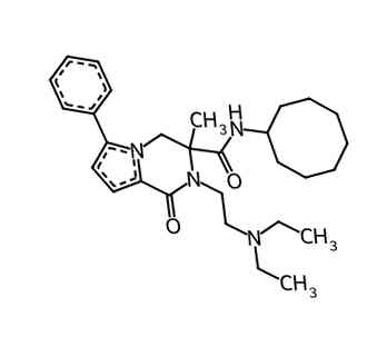 CCN(CC)CCN1C(=O)c2ccc(-c3ccccc3)n2CC1(C)C(=O)NC1CCCCCCC1